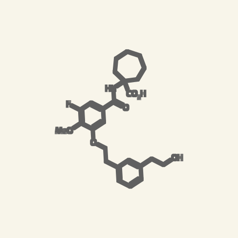 COc1c(F)cc(C(=O)NC2(C(=O)O)CCCCCC2)cc1OCCc1cccc(CCO)c1